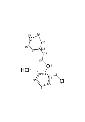 Cl.ClCc1ccccc1OCCN1CCOCC1